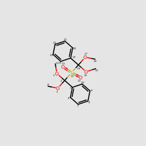 COC(OC)(c1ccccc1)S(=O)(=O)C(OC)(OC)c1ccccc1